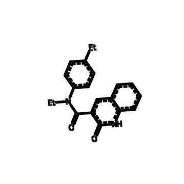 CCc1ccc(N(CC)C(=O)c2cc3ccccc3[nH]c2=O)cc1